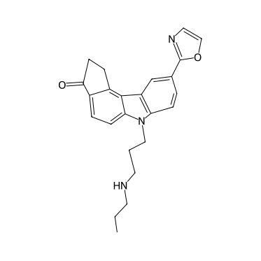 CCCNCCCn1c2ccc(-c3ncco3)cc2c2c3c(ccc21)C(=O)CC3